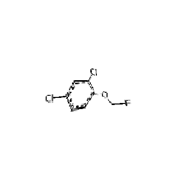 FCOc1ccc(Cl)cc1Cl